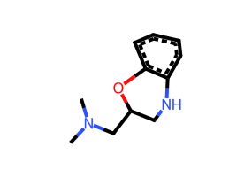 CN(C)CC1CNc2ccccc2O1